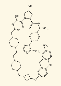 Cc1ncsc1-c1ccc([C@H](C)NC(=O)[C@@H]2C[C@@H](O)CN2C(=O)[C@@H](NC(=O)CN2CCN(CCN3CCC(O[C@H]4C[C@H](Oc5ccc6c(c5)Sc5cc([N+](=O)[O-])ccc5N6)C4)CC3)CC2)C(C)(C)C)cc1